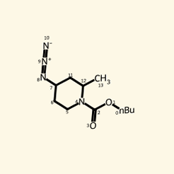 CCCCOC(=O)N1CCC(N=[N+]=[N-])CC1C